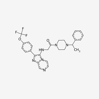 CC(c1ccccc1)N1CCN(C(=O)CNc2c(-c3ccc(OC(F)(F)F)cc3)nc3cnccn23)CC1